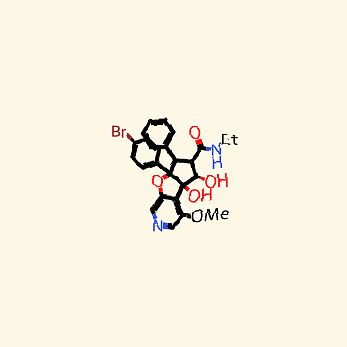 CCNC(=O)C1C(c2ccccc2)C2(c3ccc(Br)cc3)Oc3cncc(OC)c3C2(O)[C@@H]1O